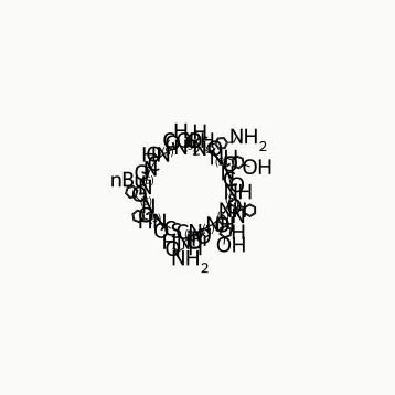 CCCC[C@H]1C(=O)N(C)CC(=O)N[C@@H](CC(=O)O)C(=O)N[C@@H](C(C)C)C(=O)N[C@@H](Cc2ccc(CN)cc2)C(=O)N[C@@H](Cc2ccc(O)cc2)C(=O)N(C)CC(=O)N[C@@H](Cc2c[nH]c3ccccc23)C(=O)N[C@@H](Cc2ccc(O)cc2)C(=O)N[C@@H](CC(C)C)C(=O)N[C@H](C(=O)NCC(N)=O)CSCC(=O)N[C@@H](Cc2ccccc2)C(=O)N(C)[C@@H](Cc2ccccc2)C(=O)N1C